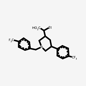 CCC(C(=O)O)C1CC(c2ccc(C(F)(F)F)cc2)CN(Cc2ccc(C(F)(F)F)cc2)C1